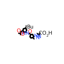 Cc1ccc(C(=O)Nc2cc(C(C)(C)C)cc3c2OC(C)(C)C3=O)cc1-n1cc(C(=O)O)nn1